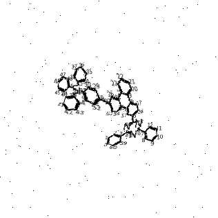 c1ccc(-c2nc(-c3ccccc3)nc(-c3ccc4c5ccccc5c5cc(-c6ccc([Si](c7ccccc7)(c7ccccc7)c7ccccc7)cc6)ccc5c4c3)n2)cc1